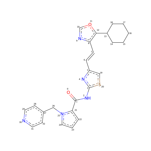 O=C(Nc1nc(/C=C/c2ncoc2C2CCCCC2)cs1)c1cccn1Cc1ccncc1